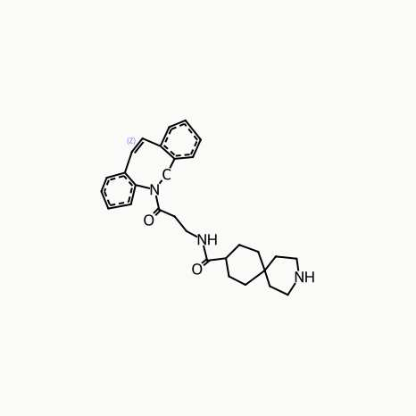 O=C(NCCC(=O)N1Cc2ccccc2/C=C\c2ccccc21)C1CCC2(CCNCC2)CC1